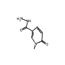 Cn1cc(C(=O)NN)ccc1=O